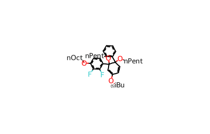 CCCCCCCCOc1ccc(C2(OCCCCC)C=C(O[C@@H](C)CC)C=CC2(OCCCCC)c2ccccc2)c(F)c1F